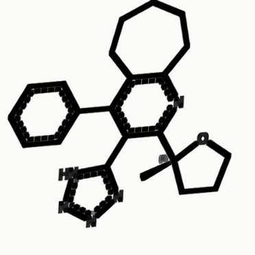 C[C@]1(c2nc3c(c(-c4ccccc4)c2-c2nnn[nH]2)CCCCC3)CCCO1